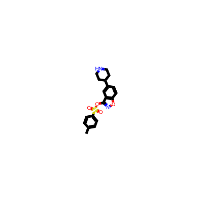 Cc1ccc(S(=O)(=O)Oc2noc3ccc(C4CCNCC4)cc23)cc1